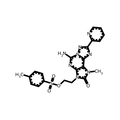 Cc1ccc(S(=O)(=O)OCCn2c(=O)n(C)c3c2nc(N)n2nc(-c4ccccn4)nc32)cc1